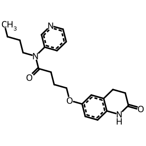 CCCCN(C(=O)CCCOc1ccc2c(c1)CCC(=O)N2)c1cccnc1